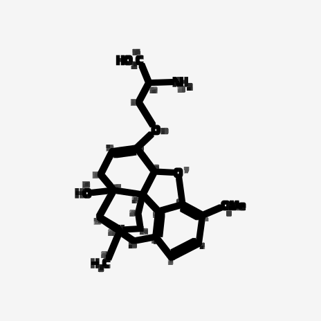 COc1ccc2c3c1OC1C(OCC(N)C(=O)O)=CCC4(O)C(C2)N(C)CCC314